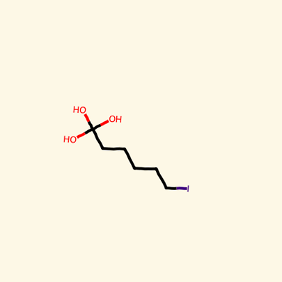 OC(O)(O)CCCCCI